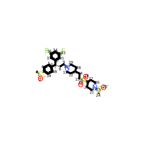 C[S+]([O-])c1ccc([C@@H](CCN2CCC(CCS(=O)(=O)C3CCN([S+](C)[O-])CC3)CC2)c2cc(F)cc(F)c2)cc1